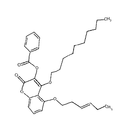 CCC=CCCOc1cccc2oc(=O)c(OC(=O)c3ccccc3)c(OCCCCCCCCCC)c12